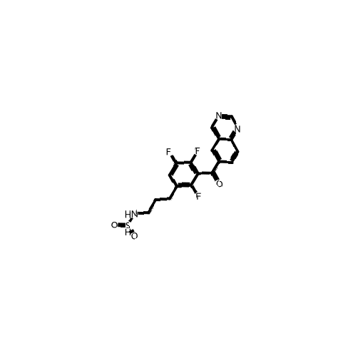 O=C(c1ccc2ncncc2c1)c1c(F)c(F)cc(CCCN[SH](=O)=O)c1F